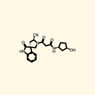 N#C[C@@H]1C[C@@]2(CN1C(=O)CC(=O)N[C@H]1CC[C@@H](O)C1)C(=O)Nc1ccccc12